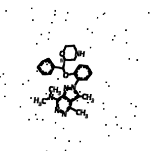 Cc1nnc(N(C)C)c2nn(-c3ccccc3OC(c3ccccc3)[C@@H]3CNCCO3)c(C)c12